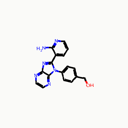 Nc1ncccc1-c1nc2nccnc2n1-c1ccc(CO)cc1